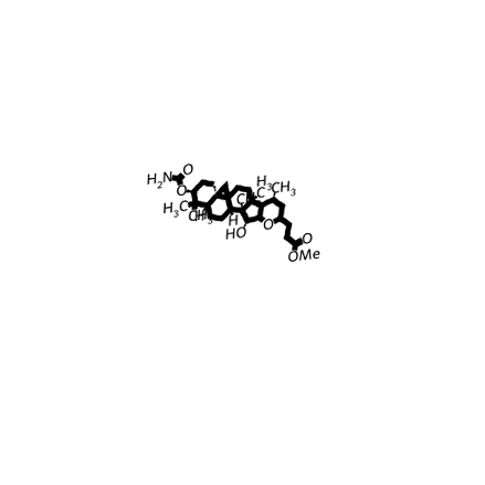 COC(=O)CCC1C[C@@H](C)C2C(O1)[C@H](O)[C@@]1(C)[C@@H]3CC[C@H]4C(C)(C)[C@@H](OC(N)=O)CC[C@@]45CC35CC[C@]21C